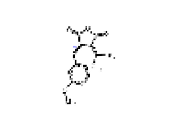 COc1cccc(/C=C2/C(=O)OC(=O)C2=C(C)C)c1